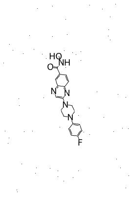 O=C(NO)c1ccc2nc(N3CCN(c4ccc(F)cc4)CC3)cnc2c1